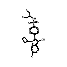 N#Cc1c(-c2ccc(S(=O)(=O)NC(CF)CF)cn2)n(C2CCC2)c2cc(Cl)ncc12